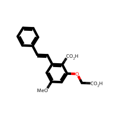 COc1cc(/C=C/c2ccccc2)c(C(=O)O)c(OCC(=O)O)c1